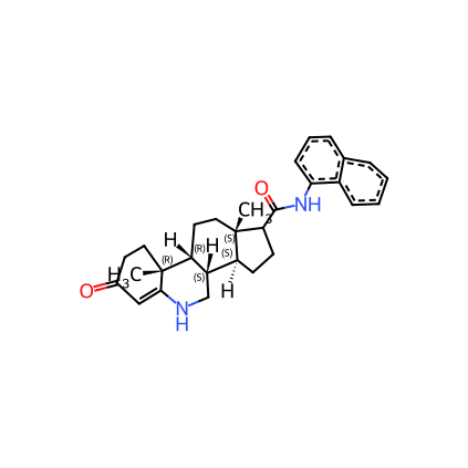 C[C@]12CCC(=O)C=C1NC[C@@H]1[C@H]2CC[C@]2(C)C(C(=O)Nc3cccc4ccccc34)CC[C@@H]12